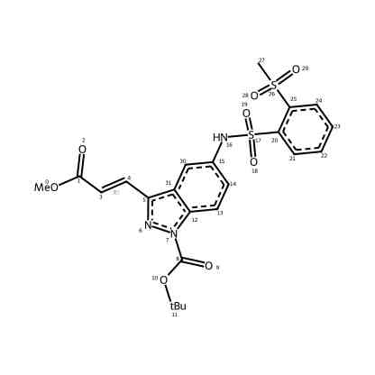 COC(=O)/C=C/c1nn(C(=O)OC(C)(C)C)c2ccc(NS(=O)(=O)c3ccccc3S(C)(=O)=O)cc12